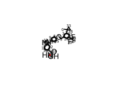 CC1(c2cc(COc3ccc(-n4cnc5ccc(C(=O)NO)cc54)cc3)cc(C(F)(F)F)c2)CC1